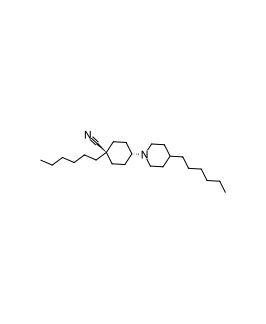 CCCCCCC1CCN([C@H]2CC[C@@](C#N)(CCCCCC)CC2)CC1